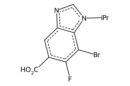 CC(C)n1cnc2cc(C(=O)O)c(F)c(Br)c21